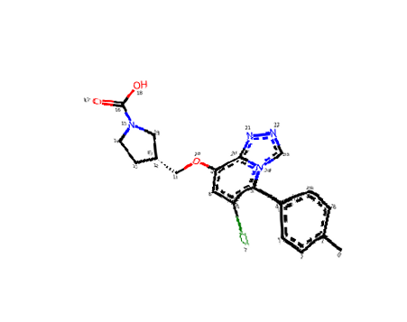 Cc1ccc(-c2c(Cl)cc(OC[C@@H]3CCN(C(=O)O)C3)c3nncn23)cc1